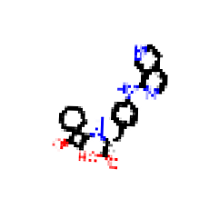 O=C(O)[C@H](Cc1ccc(Nc2nccc3ccncc23)cc1)NC1=CC(=O)C12CCCCC2